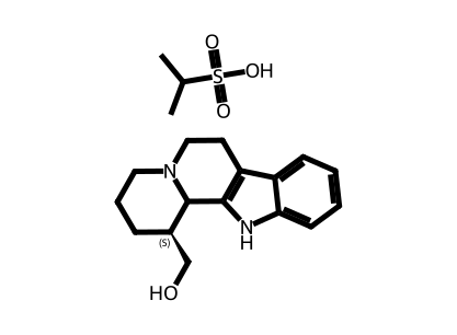 CC(C)S(=O)(=O)O.OC[C@H]1CCCN2CCc3c([nH]c4ccccc34)C12